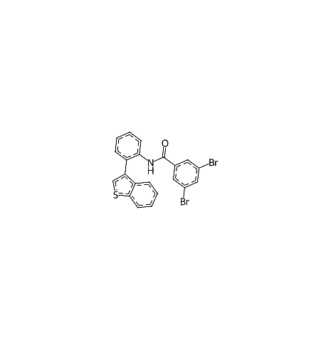 O=C(Nc1ccccc1-c1csc2ccccc12)c1cc(Br)cc(Br)c1